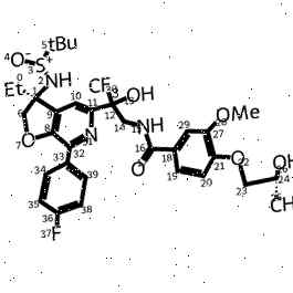 CC[C@@]1(N[S+]([O-])C(C)(C)C)COc2c1cc(C(O)(CNC(=O)c1ccc(OC[C@@H](C)O)c(OC)c1)C(F)(F)F)nc2-c1ccc(F)cc1